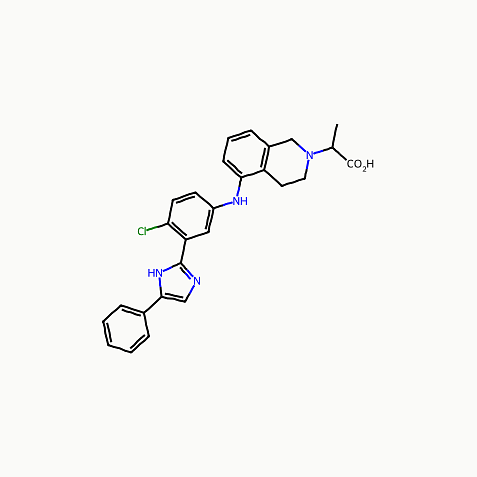 CC(C(=O)O)N1CCc2c(cccc2Nc2ccc(Cl)c(-c3ncc(-c4ccccc4)[nH]3)c2)C1